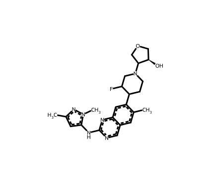 Cc1cc(Nc2ncc3cc(C)c(C4CCN(C5COC[C@H]5O)CC4F)cc3n2)n(C)n1